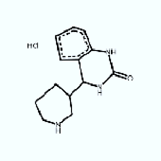 Cl.O=C1Nc2ccccc2C(C2CCCNC2)N1